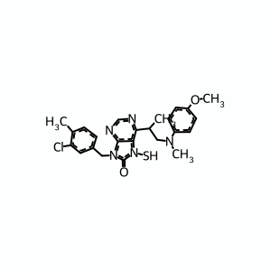 COc1ccc(N(C)CC(C)c2ncnc3c2n(S)c(=O)n3Cc2ccc(C)c(Cl)c2)cc1